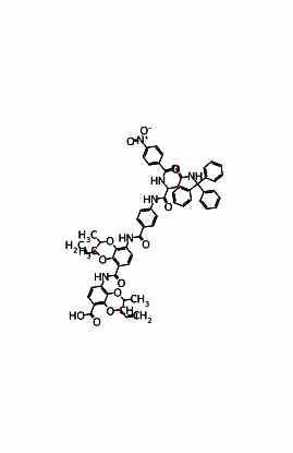 C=CCOc1c(C(=O)O)ccc(NC(=O)c2ccc(NC(=O)c3ccc(NC(=O)[C@H](CC(=O)NC(c4ccccc4)(c4ccccc4)c4ccccc4)NC(=O)c4ccc([N+](=O)[O-])cc4)cc3)c(OC(C)C)c2OCC=C)c1OC(C)C